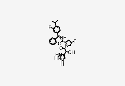 CC(C)c1ccc([C@@H](NC(=O)[C@@H]2C[C@@H](F)CN2C(=O)C(O)C2=CNNN2)c2ccccc2)cc1F